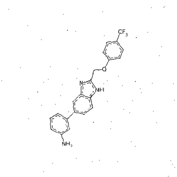 Nc1cccc(-c2ccc3[nH]c(COc4ccc(C(F)(F)F)cc4)nc3c2)c1